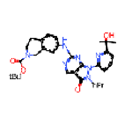 CCCn1c(=O)c2cnc(Nc3ccc4c(c3)CN(C(=O)OC(C)(C)C)CC4)nc2n1-c1cccc(C(C)(C)O)n1